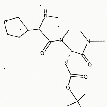 CNC(C(=O)N(C)[C@@H](CC(=O)OC(C)(C)C)C(=O)N(C)C)C1CCCC1